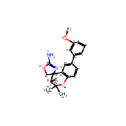 CCOc1cccc(-c2ccc3c(c2)C2(COC(N)=N2)C2(COC2)C(C)(C)O3)c1